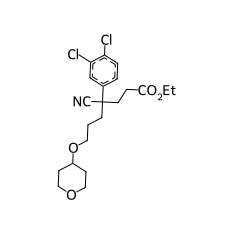 CCOC(=O)CCC(C#N)(CCCOC1CCOCC1)c1ccc(Cl)c(Cl)c1